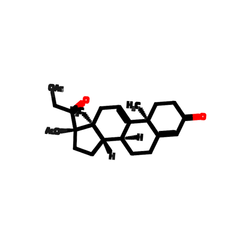 CC(=O)OCC(=O)[C@@]1(OC(C)=O)CC[C@H]2[C@@H]3CCC4=CC(=O)CC[C@]4(C)C3=CC[C@@]21C